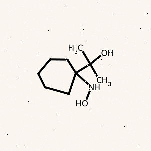 CC(C)(O)C1(NO)CCCCC1